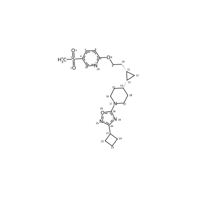 CS(=O)(=O)c1ccc(OCC[C@@H]2C[C@@H]2C2CCN(c3nc(C4CCC4)no3)CC2)nc1